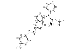 CNCC(O)C(c1ccccc1)n1ccc2cc(OCc3ccc(Cl)cc3)ccc21